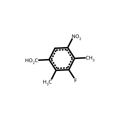 Cc1c(C(=O)O)cc([N+](=O)[O-])c(C)c1F